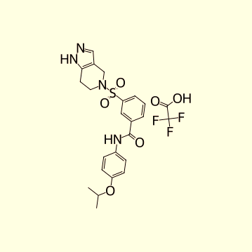 CC(C)Oc1ccc(NC(=O)c2cccc(S(=O)(=O)N3CCc4[nH]ncc4C3)c2)cc1.O=C(O)C(F)(F)F